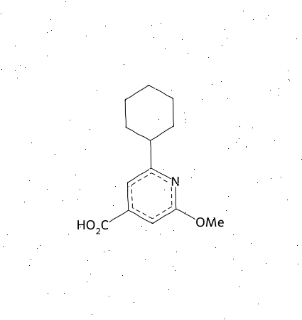 COc1cc(C(=O)O)cc(C2CCCCC2)n1